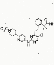 NC(=O)C1(c2ccccc2CCc2nc(Nc3ccc(C4CCN(C(=O)O)CC4)nc3)ncc2Cl)CC1